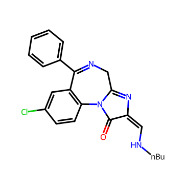 CCCCNC=C1N=C2CN=C(c3ccccc3)c3cc(Cl)ccc3N2C1=O